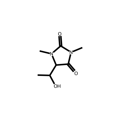 CC(O)C1C(=O)N(C)C(=O)N1C